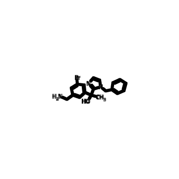 CC(O)(c1cc(Br)cc(CN)c1)c1nccn1Cc1ccccc1